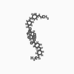 CCCC1CCC(CC2CCC(COO[C@H]3CO[C@@H]4C(OC(=O)C5CCC(CC6CCC(CC)CC6)CC5)CO[C@H]34)CC2)CC1